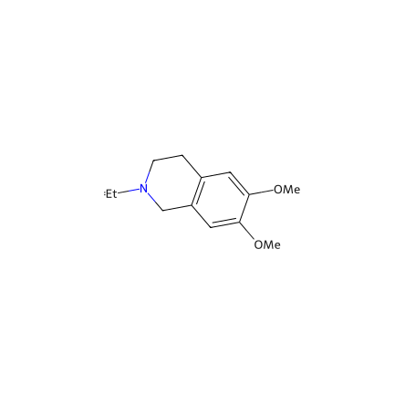 C[C]N1CCc2cc(OC)c(OC)cc2C1